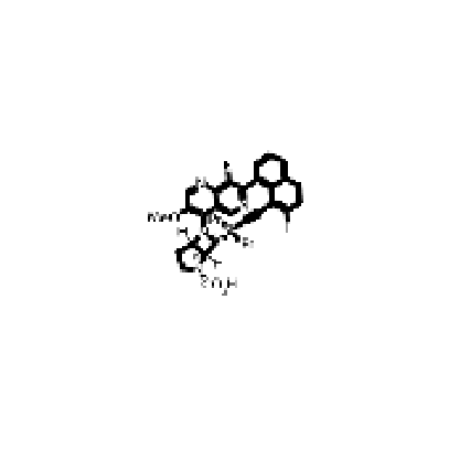 COc1cnc2c(F)c(-c3cccc4ccc(F)c(C#C[Si](C(C)C)(C(C)C)C(C)C)c34)ncc2c1N1C[C@@H]2[C@H]1CCN2C(=O)O